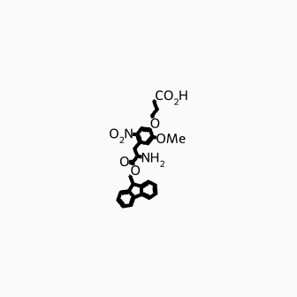 COc1cc(CC(N)C(=O)OCC2c3ccccc3-c3ccccc32)c([N+](=O)[O-])cc1OCCCC(=O)O